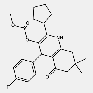 COC(=O)OC1=C(C2CCCC2)NC2=C(C(=O)CC(C)(C)C2)C1c1ccc(F)cc1